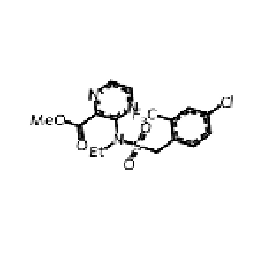 CCN(c1nccnc1C(=O)OC)S(=O)(=O)Cc1ccc(Cl)cc1C(F)(F)F